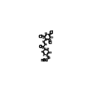 CCCCSc1ccc(C(=O)C=Cc2c(Cl)cc(Cl)cc2Cl)cc1